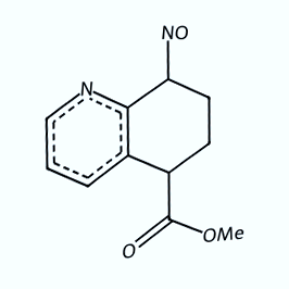 COC(=O)C1CCC(N=O)c2ncccc21